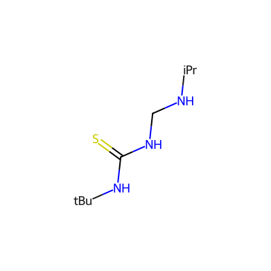 CC(C)NCNC(=S)NC(C)(C)C